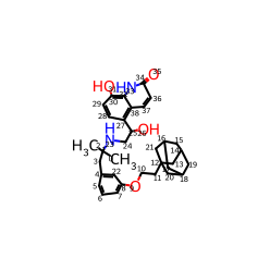 CC(C)(Cc1cccc(OCCC23CC4CC(CC(C4)C2)C3)c1)NC[C@H](O)c1ccc(O)c2[nH]c(=O)ccc12